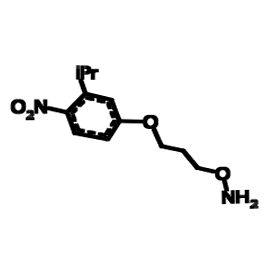 CC(C)c1cc(OCCCON)ccc1[N+](=O)[O-]